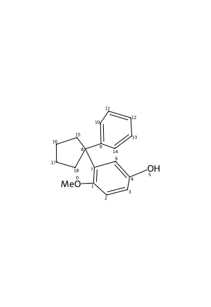 COc1ccc(O)cc1C1(c2ccccc2)CCCC1